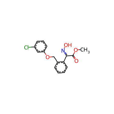 COC(=O)C(=NO)c1ccccc1COc1cccc(Cl)c1